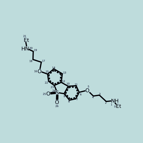 CCNCCCOc1ccc2c(c1)-c1ccc(OCCCNCC)cc1S2(=O)=O